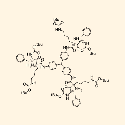 CC(C)(C)OC(=O)NCCCC[C@](N)(C(=O)Nc1ccc(C(c2ccc(NC(=O)[C@@](N)(CCCCNC(=O)OC(C)(C)C)C(=O)[C@H](Cc3ccccc3)NC(=O)OC(C)(C)C)cc2)c2ccc(NC(=O)[C@@](N)(CCCCNC(=O)OC(C)(C)C)C(=O)[C@H](Cc3ccccc3)NC(=O)OC(C)(C)C)cc2)cc1)C(=O)[C@H](Cc1ccccc1)NC(=O)OC(C)(C)C